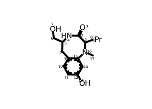 CC(C)C1C(=O)NC(CO)Cc2ccc(O)cc2N1C